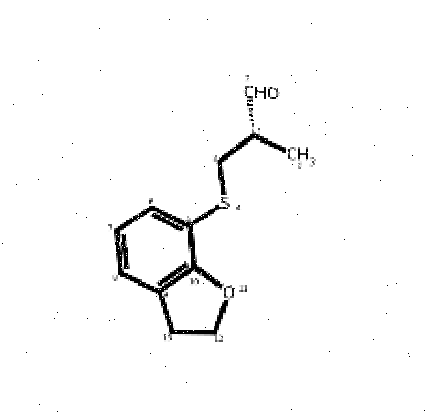 C[C@@H](C=O)CSc1cccc2c1OCC2